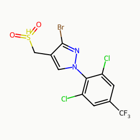 O=[SH](=O)Cc1cn(-c2c(Cl)cc(C(F)(F)F)cc2Cl)nc1Br